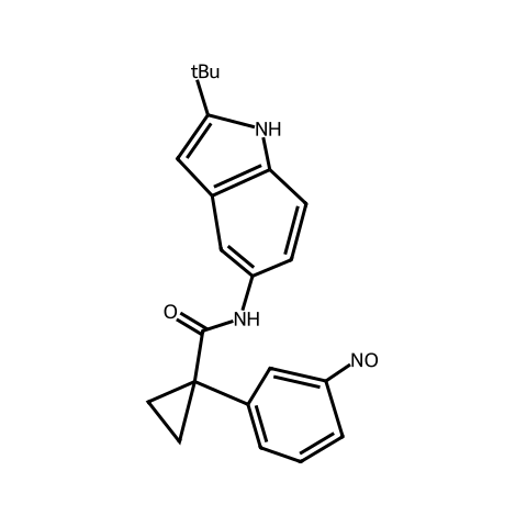 CC(C)(C)c1cc2cc(NC(=O)C3(c4cccc(N=O)c4)CC3)ccc2[nH]1